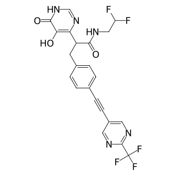 O=C(NCC(F)F)C(Cc1ccc(C#Cc2cnc(C(F)(F)F)nc2)cc1)c1nc[nH]c(=O)c1O